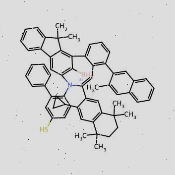 Bc1c2cc3c(c1-c1cccc(-c4cc5ccccc5cc4C)c1/C=C(/c1cc4c(cc1C1CC1)C(C)(C)CCC4(C)C)N2c1ccc(S)cc1-c1ccccc1)C(C)(C)c1ccccc1-3